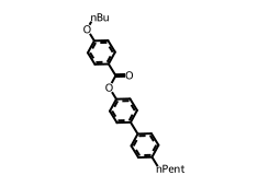 CCCCCc1ccc(-c2ccc(OC(=O)c3ccc(OCCCC)cc3)cc2)cc1